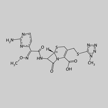 CON=C(C(=O)NC1C(=O)N2C(C(=O)O)=C(CSc3nnnn3C)CS[C@@H]12)c1ccnc(N)n1